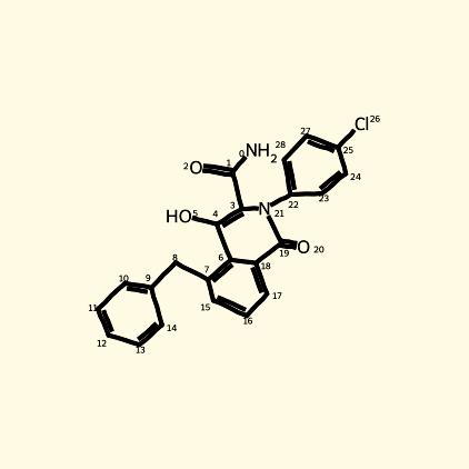 NC(=O)c1c(O)c2c(Cc3ccccc3)cccc2c(=O)n1-c1ccc(Cl)cc1